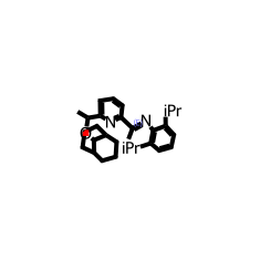 C/C(=N\c1c(C(C)C)cccc1C(C)C)c1cccc(C(C)OC2C3CCCC2CCC3)n1